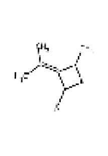 CC(C)=C1C(C)CC1C